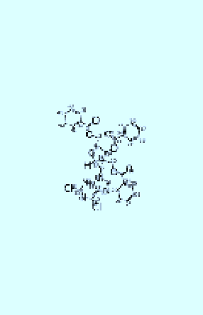 O=C(OC[C@H]1O[C@H]2C(n3cnc4c(Cl)nc(Cl)nc43)C2(COC(=O)c2ccccc2)C1OC(=O)c1ccccc1)c1ccccc1